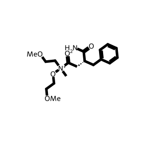 COCCO[N+](C)(CCOC)C(=O)C[C@@H](Cc1ccccc1)C(N)=O